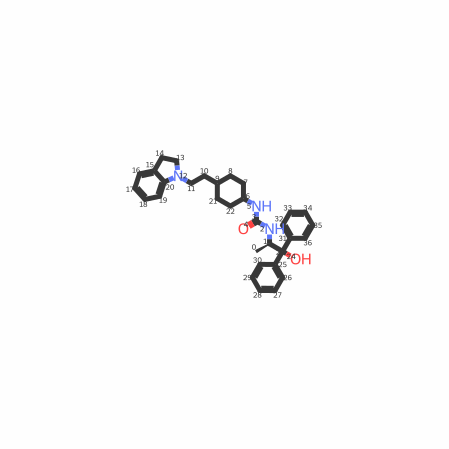 C[C@@H](NC(=O)NC1CCC(CCN2CCc3ccccc32)CC1)C(O)(c1ccccc1)c1ccccc1